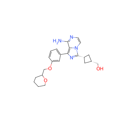 Nc1nccn2c1c(-c1cccc(OCC3CCCCO3)c1)nc2[C@H]1C[C@@H](CO)C1